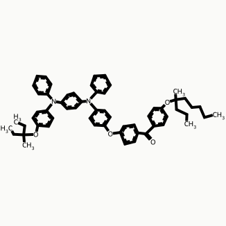 CCCCCC(C)(CCC)Oc1ccc(C(=O)c2ccc(Oc3ccc(N(c4ccccc4)c4ccc(N(c5ccccc5)c5ccc(OC(C)(CC)CC)cc5)cc4)cc3)cc2)cc1